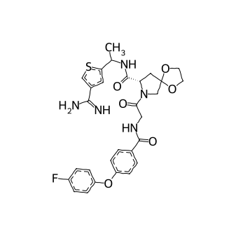 CC(NC(=O)[C@@H]1CC2(CN1C(=O)CNC(=O)c1ccc(Oc3ccc(F)cc3)cc1)OCCO2)c1cc(C(=N)N)cs1